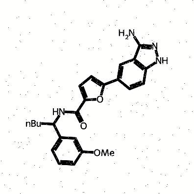 CCCCC(NC(=O)c1ccc(-c2ccc3[nH]nc(N)c3c2)o1)c1cccc(OC)c1